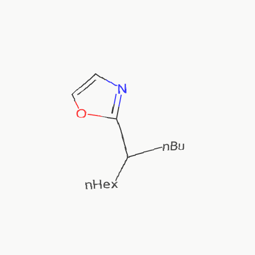 CCCCCCC(CCCC)c1ncco1